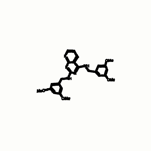 COc1cc(CNc2nc(NCc3cc(OC)cc(OC)c3)c3cccnc3n2)cc(OC)c1